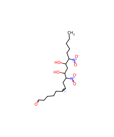 CCCCCC(C(O)CC(O)C(C/C=C\CCCCC=O)[N+](=O)[O-])[N+](=O)[O-]